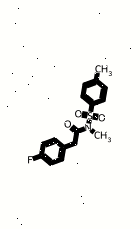 Cc1ccc(S(=O)(=O)N(C)C(=O)Cc2ccc(F)cc2)cc1